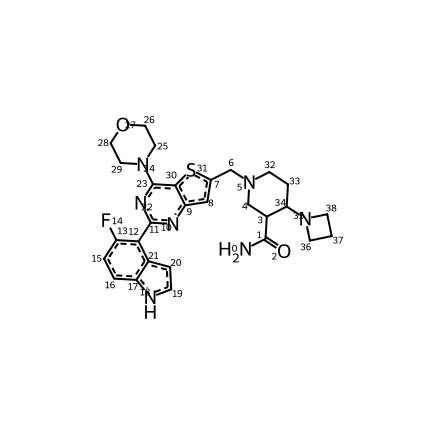 NC(=O)C1CN(Cc2cc3nc(-c4c(F)ccc5[nH]ccc45)nc(N4CCOCC4)c3s2)CCC1N1CCC1